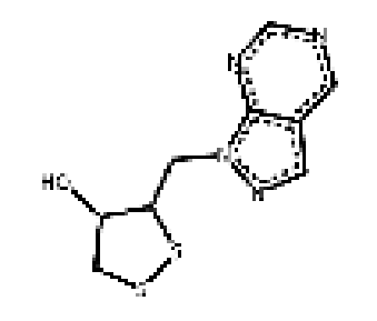 OC1CSSC1Cn1ncc2cncnc21